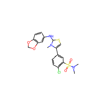 CN1C(c2ccc(Cl)c(S(=O)(=O)N(C)C)c2)=CSC1Nc1ccc2c(c1)OCO2